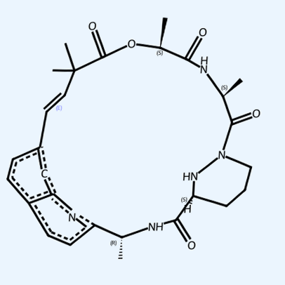 C[C@@H]1NC(=O)[C@H](C)OC(=O)C(C)(C)/C=C/c2ccc3ccc(nc3c2)[C@@H](C)NC(=O)[C@@H]2CCCN(N2)C1=O